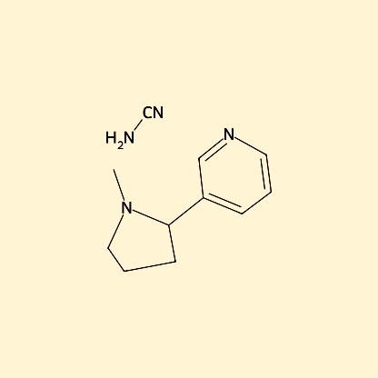 CN1CCCC1c1cccnc1.N#CN